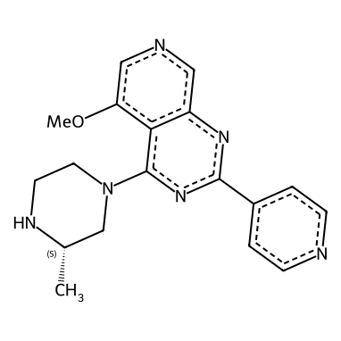 COc1cncc2nc(-c3ccncc3)nc(N3CCN[C@@H](C)C3)c12